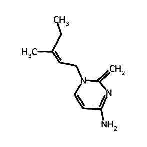 C=C1N=C(N)C=CN1C/C=C(/C)CC